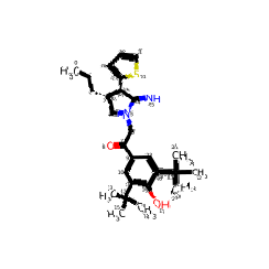 CCC[C@H]1CN(CC(=O)c2cc(C(C)(C)C)c(O)c(C(C)(C)C)c2)C(=N)[C@@H]1c1cccs1